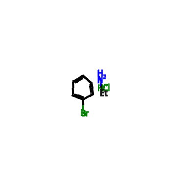 Brc1ccccc1.CCN.Cl